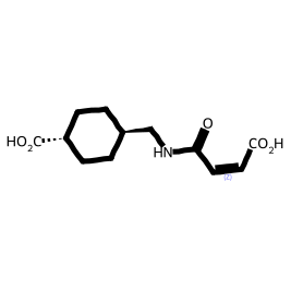 O=C(O)/C=C\C(=O)NC[C@H]1CC[C@H](C(=O)O)CC1